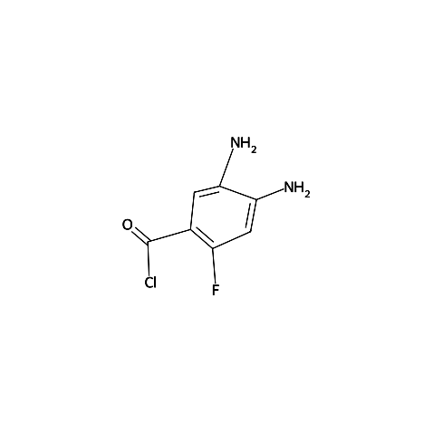 Nc1cc(F)c(C(=O)Cl)cc1N